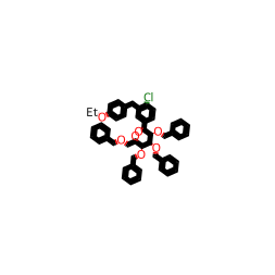 CCOc1ccc(Cc2cc(C(=O)[C@H](OCc3ccccc3)[C@@H](OCc3ccccc3)[C@H](OCc3ccccc3)C(=O)COCc3ccccc3)ccc2Cl)cc1